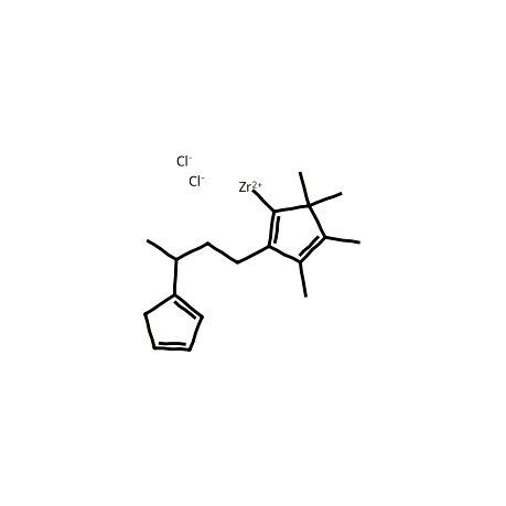 CC1=C(C)C(C)(C)[C]([Zr+2])=C1CCC(C)C1=CC=CC1.[Cl-].[Cl-]